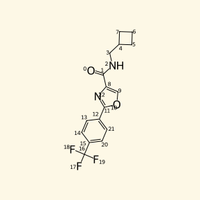 O=C(NCC1CCC1)c1coc(-c2ccc(C(F)(F)F)cc2)n1